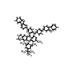 Cc1cc2c3c(c1)N(c1c(C)cc(C(C)(C)C)cc1C)c1cc4c(cc1B3c1cc(-c3ccc5c(c3)oc3ccccc35)ccc1N2c1ccc(-c2ccc3c(c2)oc2ccccc23)cc1)OCCO4